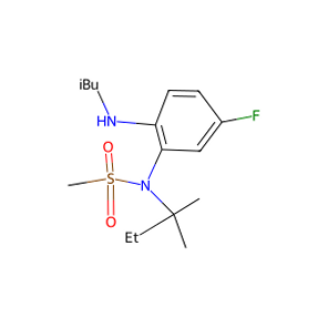 CCC(C)Nc1ccc(F)cc1N(C(C)(C)CC)S(C)(=O)=O